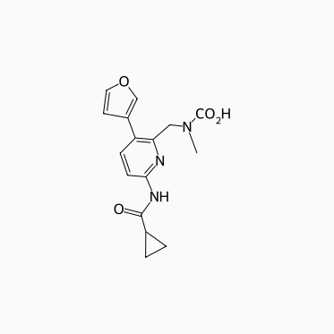 CN(Cc1nc(NC(=O)C2CC2)ccc1-c1ccoc1)C(=O)O